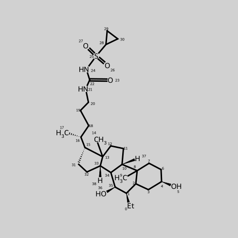 CC[C@@H]1C2C[C@H](O)CCC2(C)[C@H]2CCC3(C)[C@@H]([C@H](C)CCCNC(=O)NS(=O)(=O)C4CC4)CC[C@H]3C2[C@@H]1O